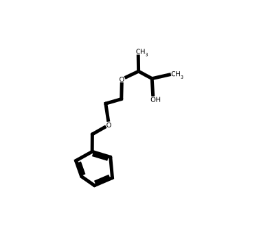 CC(O)C(C)OCCOCc1ccccc1